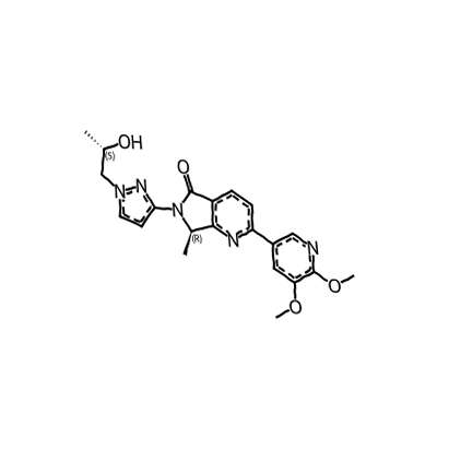 COc1cc(-c2ccc3c(n2)[C@@H](C)N(c2ccn(C[C@H](C)O)n2)C3=O)cnc1OC